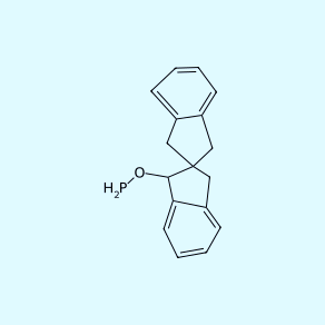 POC1c2ccccc2CC12Cc1ccccc1C2